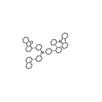 c1cc(-c2cccc3ccccc23)cc(N(c2ccc(-c3ccccc3-c3ccccc3-n3c4ccccc4c4ccccc43)cc2)c2cccc(-c3cccc4c3oc3ccccc34)c2)c1